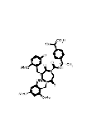 COc1cc(OC)c(CN2C[C@@H](Cc3cc(Cl)ccc3OC)C(=O)N(C(=O)N[C@H](C)c3ccc(C(C(=O)O)C(C)(C)C)cc3)CC2=S)c(OC)c1